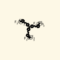 FC(F)(F)C(c1cccc(/C=C/c2ccc(N(c3ccc(/C=C/c4cccc(C(C(F)(F)F)(C(F)(F)F)C(F)(F)F)c4)cc3)c3ccc(/C=C/c4cccc(C(C(F)(F)F)(C(F)(F)F)C(F)(F)F)c4)cc3)cc2)c1)(C(F)(F)F)C(F)(F)F